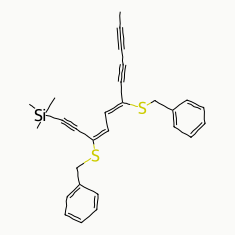 CC#CC#CC(=CC=C(C#C[Si](C)(C)C)SCc1ccccc1)SCc1ccccc1